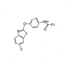 CCC(=O)Nc1ccc(Oc2nc3ccc(F)cc3s2)cc1